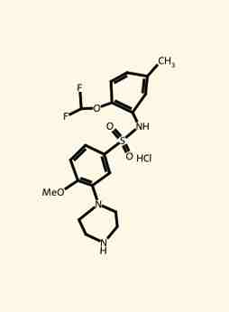 COc1ccc(S(=O)(=O)Nc2cc(C)ccc2OC(F)F)cc1N1CCNCC1.Cl